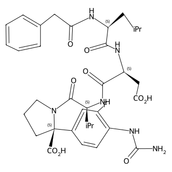 CC(C)C[C@H](NC(=O)Cc1ccccc1)C(=O)N[C@@H](CC(=O)O)C(=O)N[C@H](C(=O)N1CCC[C@@]1(C(=O)O)c1ccc(NC(N)=O)c(F)c1)C(C)C